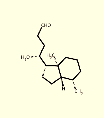 C[C@H](CCC=O)[C@H]1CC[C@H]2[C@@H](C)CCC[C@]12C